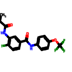 CCC(=O)Nc1cc(C(=O)Nc2ccc(OC(F)(F)F)cc2)ccc1F